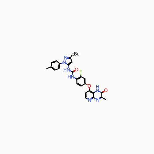 Cc1ccc(-n2nc(C(C)(C)C)cc2NC(=O)Nc2ccc(Oc3ccnc4nc(C)c(=O)[nH]c34)cc2F)cc1